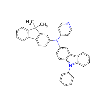 CC1(C)c2ccccc2-c2ccc(N(c3ccncc3)c3ccc4c(c3)c3ccccc3n4-c3ccccc3)cc21